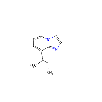 CCC(C)c1cccn2ccnc12